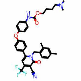 Cc1ccc(Cn2c(-c3ccc(Oc4ccc(NC(=O)OCCCCN(C)C)cc4)cc3)cc(C(F)(F)F)c(C#N)c2=O)c(C)c1